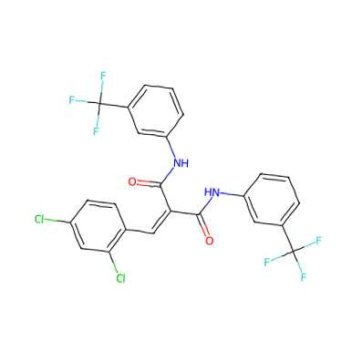 O=C(Nc1cccc(C(F)(F)F)c1)C(=Cc1ccc(Cl)cc1Cl)C(=O)Nc1cccc(C(F)(F)F)c1